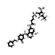 Cn1c(C(F)(F)F)nc([N+](=O)[O-])c1C[N+](C)(C)C/C=C/C(=O)Nc1cc2c(Nc3ccc(OCc4ccccn4)c(Br)c3)ncnc2cn1.[Br-]